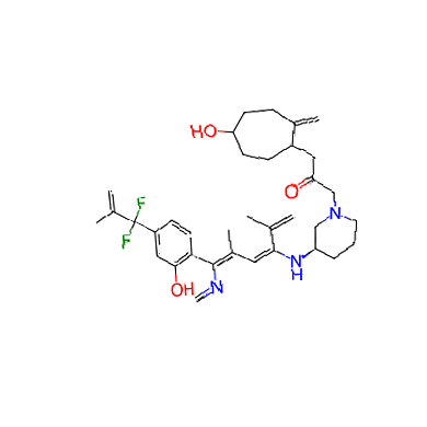 C=N/C(=C(C)\C=C(\N[C@@H]1CCCN(CC(=O)CC2CCC(O)CCC2=C)C1)C(=C)C)c1ccc(C(F)(F)C(=C)C)cc1O